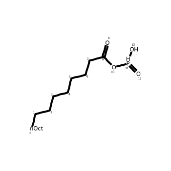 CCCCCCCCCCCCCCCC(=O)O[PH](=O)O